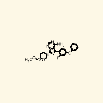 COC[C@H]1CC[C@H](c2nc(-c3ccc(Oc4ccccc4)cc3F)c3c(N)ncnn23)CO1